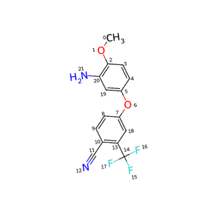 COc1ccc(Oc2ccc(C#N)c(C(F)(F)F)c2)cc1N